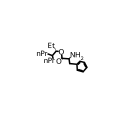 CCCC(CCC)[C@H](CC)OC(=O)[C@@H](N)Cc1ccccc1